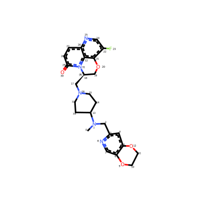 CN(Cc1cc2c(cn1)OCCO2)C1CCN(C[C@@H]2COc3c(F)cnc4ccc(=O)n2c34)CC1